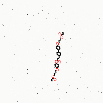 C=CC(=O)OCCCCOc1ccc(OC(=O)CCc2ccc(-c3ccc(OCCCCOC(=O)C=C)cc3)cc2)cc1